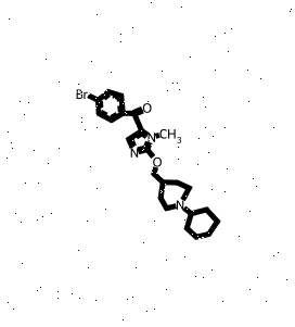 Cn1c(C(=O)c2ccc(Br)cc2)cnc1OCC1CCN(C2CCCCC2)CC1